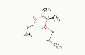 CCCO[C@H](C)[C@@H](C)OCCC